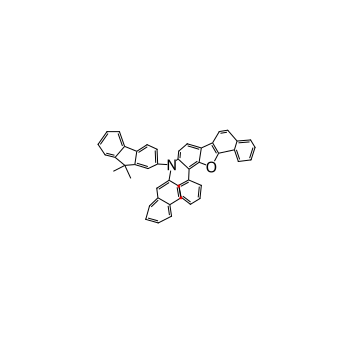 CC1(C)c2ccccc2-c2ccc(N(c3ccc4ccccc4c3)c3ccc4c(oc5c6ccccc6ccc45)c3-c3ccccc3)cc21